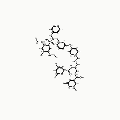 CCOc1cc(S(=O)(=O)N(Cc2ccccc2)Cc2cccc(Oc3ccc(COCC(CNC(=O)c4cc(C)cc(C)c4)OC(=O)c4cc(C)cc(C)c4)cc3)c2)c(OCC)cc1C